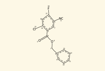 [C-]#[N+]c1cc(C(=O)OCc2ccccc2)c(Cl)cc1F